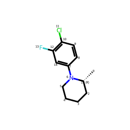 C[C@@H]1CCCCN1c1ccc(Cl)c(F)c1